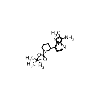 Cc1nn2c(C3CCCN(C(=O)OC(C)(C)C)C3)ccnc2c1N